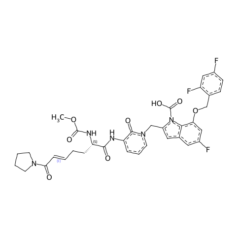 COC(=O)N[C@@H](CC/C=C/C(=O)N1CCCC1)C(=O)Nc1cccn(Cc2cc3cc(F)cc(OCc4ccc(F)cc4F)c3n2C(=O)O)c1=O